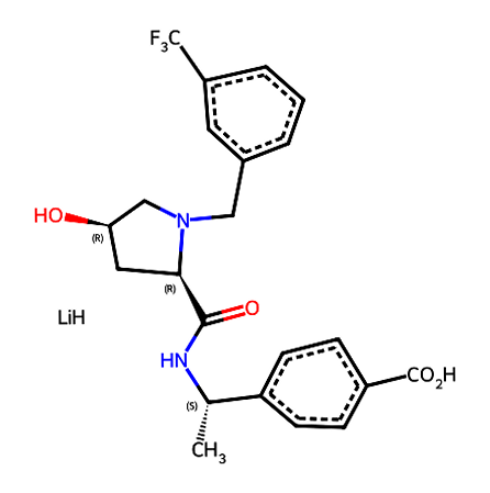 C[C@H](NC(=O)[C@H]1C[C@@H](O)CN1Cc1cccc(C(F)(F)F)c1)c1ccc(C(=O)O)cc1.[LiH]